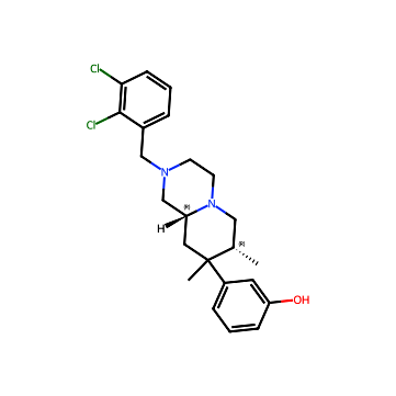 C[C@H]1CN2CCN(Cc3cccc(Cl)c3Cl)C[C@H]2CC1(C)c1cccc(O)c1